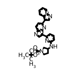 CC(C)(C)OC(=O)N1CCC(Nc2cccc(-c3cnc4ccc(-c5cnn6ccccc56)nn34)n2)C1